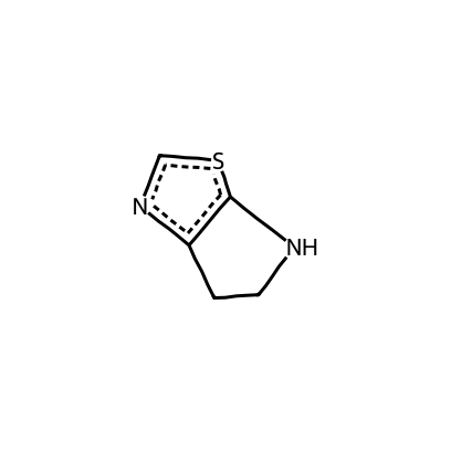 c1nc2c(s1)NCC2